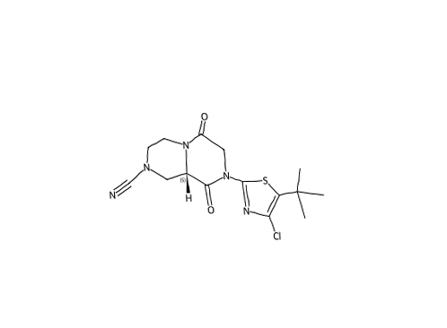 CC(C)(C)c1sc(N2CC(=O)N3CCN(C#N)C[C@H]3C2=O)nc1Cl